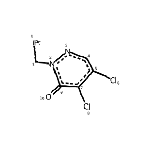 CC(C)Cn1ncc(Cl)c(Cl)c1=O